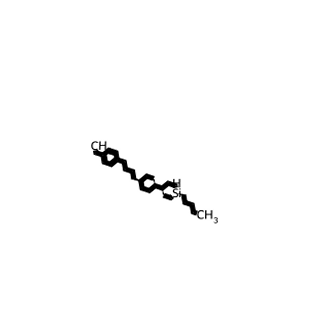 CCCCC[Si@H]1CC[C@H]([C@H]2CC[C@H](CCCCc3ccc(CC)cc3)CC2)CC1